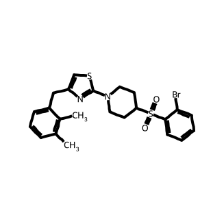 Cc1cccc(Cc2csc(N3CCC(S(=O)(=O)c4ccccc4Br)CC3)n2)c1C